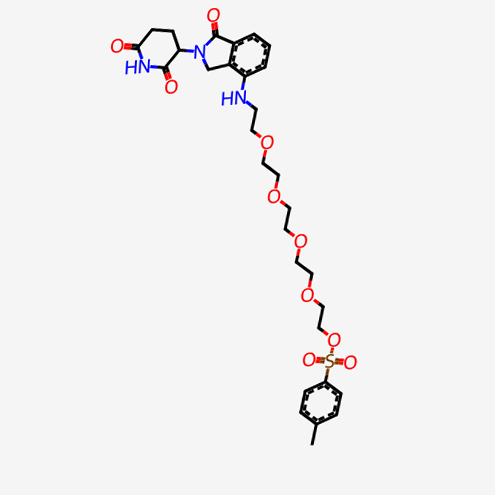 Cc1ccc(S(=O)(=O)OCCOCCOCCOCCOCCNc2cccc3c2CN(C2CCC(=O)NC2=O)C3=O)cc1